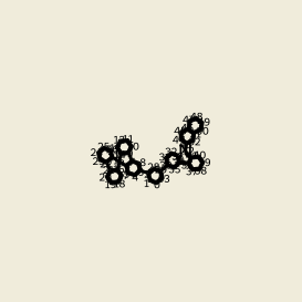 c1cc(-c2ccc3c(c2)-c2ccccc2C32c3ccccc3-c3ccccc32)cc(-c2ccc3c(c2)c2ccccc2n3-c2ccc3ccccc3c2)c1